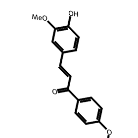 CCOc1ccc(C(=O)C=Cc2ccc(O)c(OC)c2)cc1